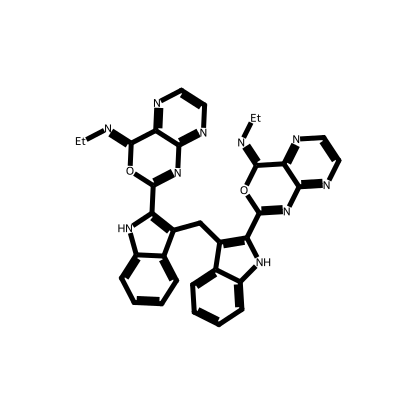 CCN=c1oc(-c2[nH]c3ccccc3c2Cc2c(-c3nc4nccnc4/c(=N\CC)o3)[nH]c3ccccc23)nc2nccnc12